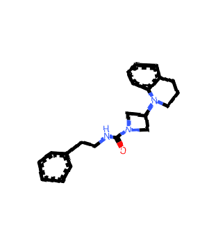 O=C(NCCc1ccccc1)N1CC(N2CCCc3ccccc32)C1